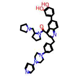 O=C(c1cc(Cc2ccc(N3CCN(c4ccncc4)CC3)cc2)nc2ccc(-c3ccc(O)c(O)c3)cc12)N1CCCC1CN1CCCC1